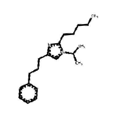 CCCCCc1nc(CCCc2ccccc2)cn1C(C)C